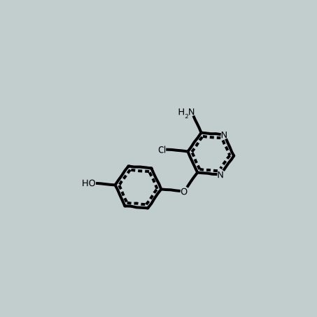 Nc1ncnc(Oc2ccc(O)cc2)c1Cl